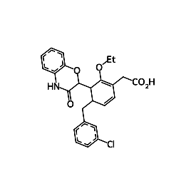 CCOC1=C(CC(=O)O)C=CC(Cc2cccc(Cl)c2)C1C1Oc2ccccc2NC1=O